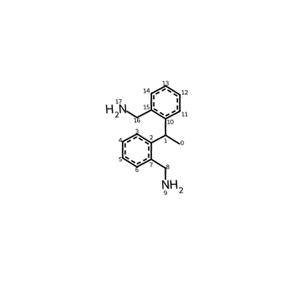 CC(c1ccccc1CN)c1ccccc1CN